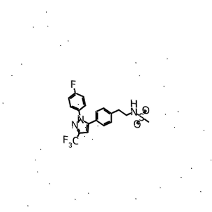 CS(=O)(=O)NCCc1ccc(-c2cc(C(F)(F)F)nn2-c2ccc(F)cc2)cc1